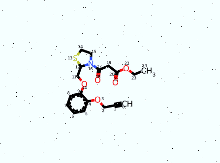 C#CCOc1ccccc1OCC1SCCN1C(=O)CC(=O)OCC